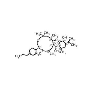 CCCN1CCC([C@H]2COCC(C)(C)C[C@@H](C)[C@@H](O[C@@H]3O[C@H](C)C[C@H](N(C)C)[C@H]3O)[C@](C)(OC)C[C@@H](C)CN2C)CC1